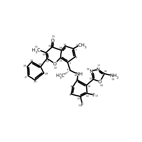 Cc1cc([C@@H](C)Nc2ccc(F)c(F)c2-c2nnc(N)o2)c2oc(-c3ccccc3)c(C)c(=O)c2c1